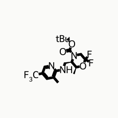 Cc1cc(C(F)(F)F)cnc1NC[C@@H]1[C@H](C)OC(F)(F)CN1C(=O)OC(C)(C)C